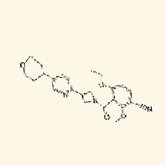 CCOc1ccc(C#N)c(OC)c1C(=O)N1CC(c2ccc(C3CCOCC3)cn2)C1